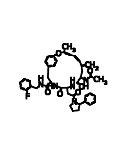 C=C1/C=C\C=C(/C)Oc2ccc(cc2)CC(C(=O)NCc2ccccc2F)NC(=O)C(CC(=O)N2CCC[C@@H]2c2ccccc2)NC(=O)C(NC(C)=O)C1